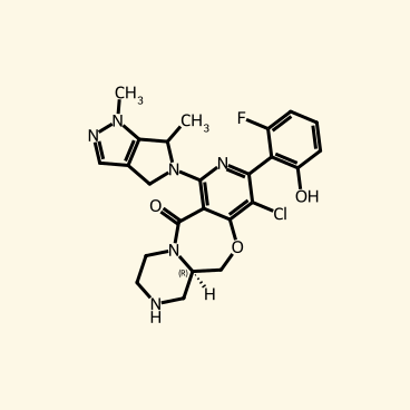 CC1c2c(cnn2C)CN1c1nc(-c2c(O)cccc2F)c(Cl)c2c1C(=O)N1CCNC[C@@H]1CO2